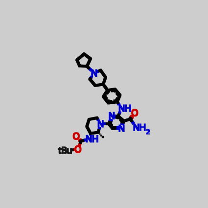 C[C@@H]1[C@H](NC(=O)OC(C)(C)C)CCCN1c1cnc(C(N)=O)c(Nc2ccc(C3CCN(C4CCCC4)CC3)cc2)n1